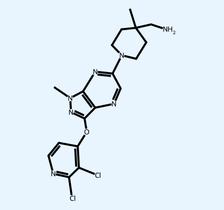 Cn1nc(Oc2ccnc(Cl)c2Cl)c2ncc(N3CCC(C)(CN)CC3)nc21